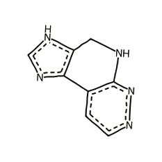 c1cc2c(nn1)NCc1[nH]cnc1-2